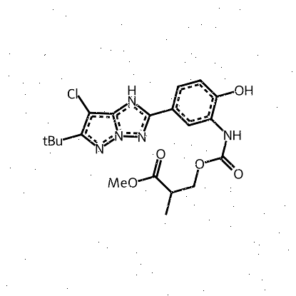 COC(=O)C(C)COC(=O)Nc1cc(-c2nn3nc(C(C)(C)C)c(Cl)c3[nH]2)ccc1O